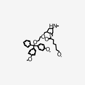 CNC1CC(COCCOC(c2ccccc2)(c2ccc(OC)cc2)c2ccc(OC)cc2)N(C(=O)CCCCCOC)C1